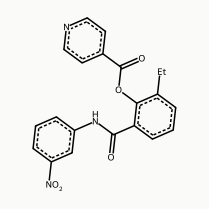 CCc1cccc(C(=O)Nc2cccc([N+](=O)[O-])c2)c1OC(=O)c1ccncc1